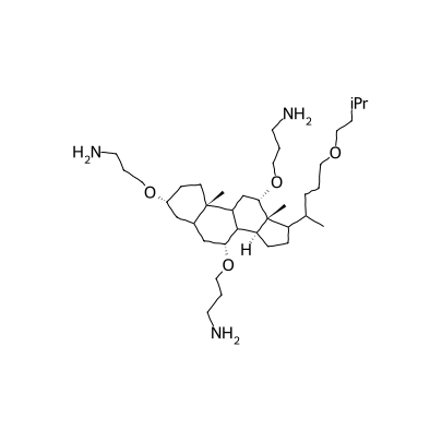 CC(C)CCOCCCC(C)C1CC[C@H]2C3C(C[C@H](OCCCN)[C@]12C)[C@@]1(C)CC[C@@H](OCCCN)CC1C[C@H]3OCCCN